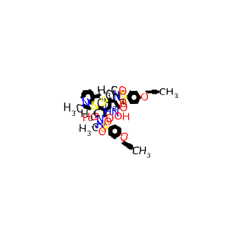 CC#CCOc1ccc(S(=O)(=O)N(C)C(C(=O)NO)C(C)(CC(C(=O)N(O)N(C)S(=O)(=O)c2ccc(OCC#CC)cc2)C(C)(C)SCCC)SCc2cccnc2)cc1